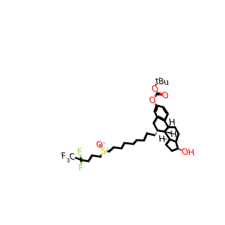 CC(C)(C)OC(=O)Oc1ccc2c(c1)C[C@@H](CCCCCCCCC[S+]([O-])CCCC(F)(F)C(F)(F)F)[C@@H]1[C@@H]2CCC2[C@H]1CC[C@@H]2O